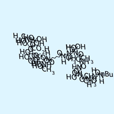 CCCCNC(=O)CNC(=O)CNC(C)(C)C(=O)CN(CC(O)O)C(=O)CNC(=O)CNC(C)(C)C(=O)CN(CC(O)O)C(=O)CNC(O)CNC(=O)CCCCC(=O)NO[C@@H]1OC[S+]([O-])[C@@H](O[C@@H]2OC(CO[C@]3(C(=O)O)CC(O)[C@@H](NC(C)O)C(C(O)C(O)CO)O3)[C@H](O)C(O)C2O)C(O)C1NC(C)O